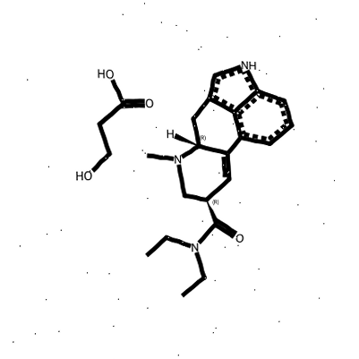 CCN(CC)C(=O)[C@@H]1C=C2c3cccc4[nH]cc(c34)C[C@H]2N(C)C1.O=C(O)CCO